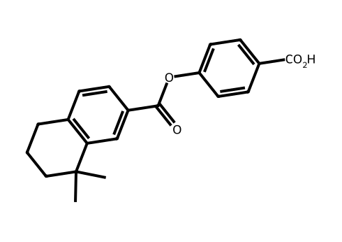 CC1(C)CCCc2ccc(C(=O)Oc3ccc(C(=O)O)cc3)cc21